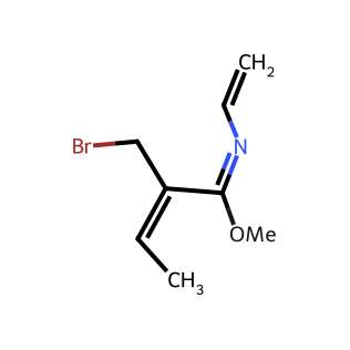 C=C/N=C(OC)\C(=C/C)CBr